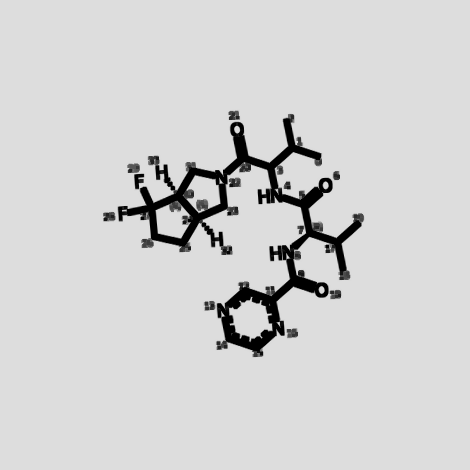 CC(C)C(NC(=O)[C@H](NC(=O)c1cnccn1)C(C)C)C(=O)N1C[C@H]2CCC(F)(F)[C@H]2C1